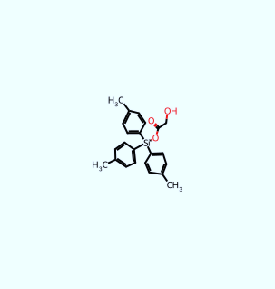 Cc1ccc([Si](OC(=O)CO)(c2ccc(C)cc2)c2ccc(C)cc2)cc1